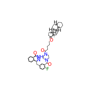 C[C@@]12CCCC[C@H]1CC[C@H]1[C@H]2CC[C@]2(C)[C@@H]1CC[C@H]2OCCCCC(=O)N1CCN(C(=O)c2cc(Cc3n[nH]c(=O)c4ccccc34)ccc2F)CC1